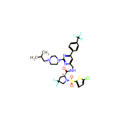 CC(C)CN1CCN(c2nc(CNC(=O)[C@@H]3CC(F)(F)CN3S(=O)(=O)c3ccc(Cl)s3)cc(-c3ccc(C(F)(F)F)cc3)n2)CC1